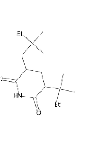 CCC(C)(C)CC1CC(C(C)(C)CC)C(=O)NC1=O